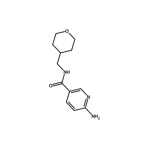 Nc1ccc(C(=O)NCC2CCOCC2)cn1